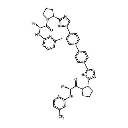 Cc1ccnc(N[C@H](C(=O)N2CCC[C@H]2c2ncc(-c3ccc(-c4ccc(-c5cnc([C@@H]6CCCN6C(=O)[C@@H](Nc6nccc(C(F)(F)F)n6)C(C)C)[nH]5)cc4)cc3)[nH]2)C(C)C)n1